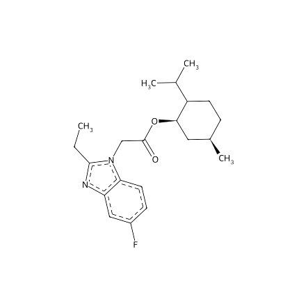 CCc1nc2cc(F)ccc2n1CC(=O)O[C@@H]1C[C@H](C)CCC1C(C)C